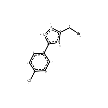 Clc1ccc(-c2nsc(CBr)n2)cc1